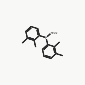 CCCCCCP(c1cccc(C)c1C)c1cccc(C)c1C